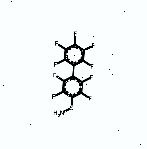 NSc1c(F)c(F)c(-c2c(F)c(F)c(F)c(F)c2F)c(F)c1F